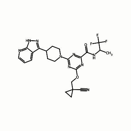 CC(NC(=O)c1nc(OCC2(C#N)CC2)nc(N2CCC(c3n[nH]c4ncccc34)CC2)n1)C(F)(F)F